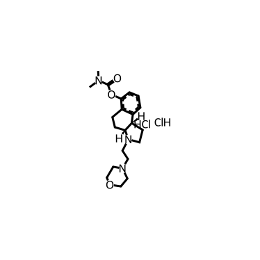 CN(C)C(=O)Oc1cccc2c1CC[C@@H]1[C@H]2CCN1CCN1CCOCC1.Cl.Cl